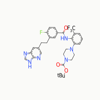 CC(C)(C)OC(=O)N1CCN(c2cccc(C(F)(F)F)c2NC(=O)c2ccc(F)c(CCc3cnc4[nH]cnc4c3)c2)CC1